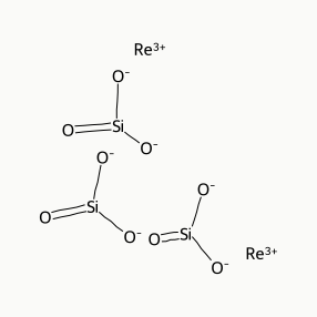 O=[Si]([O-])[O-].O=[Si]([O-])[O-].O=[Si]([O-])[O-].[Re+3].[Re+3]